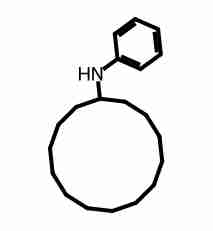 c1ccc(NC2CCCCCCCCCCCCC2)cc1